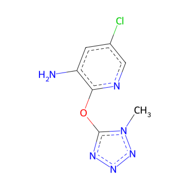 Cn1nnnc1Oc1ncc(Cl)cc1N